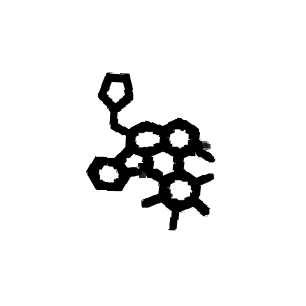 Cc1c(C)c(C)c2c(c1C)c1c3c(cc[n+]1C)cc(CC1CCCC1)c1c4ccccc4n2c13